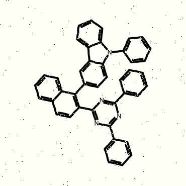 c1ccc(-c2nc(-c3ccccc3)nc(-c3ccc4ccccc4c3-c3ccc4c(c3)c3ccccc3n4-c3ccccc3)n2)cc1